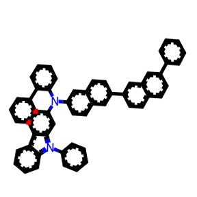 c1ccc(-c2ccc3ccc(-c4ccc5cc(N(c6ccc7c8ccccc8n(-c8ccccc8)c7c6)c6ccccc6-c6ccccc6)ccc5c4)cc3c2)cc1